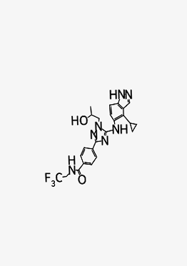 CC(O)Cn1nc(-c2ccc(C(=O)NCC(F)(F)F)cc2)nc1Nc1ccc2[nH]ncc2c1C1CC1